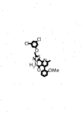 COc1ccccc1-c1cc(C)nc(-c2nnc(COc3cc(Cl)cc(Cl)c3)s2)c1C(N)=O